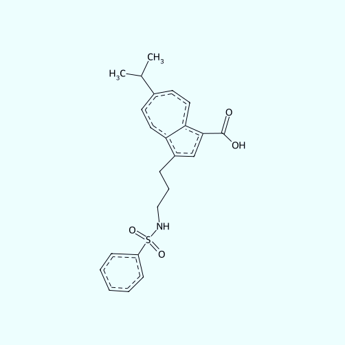 CC(C)c1ccc2c(CCCNS(=O)(=O)c3ccccc3)cc(C(=O)O)c-2cc1